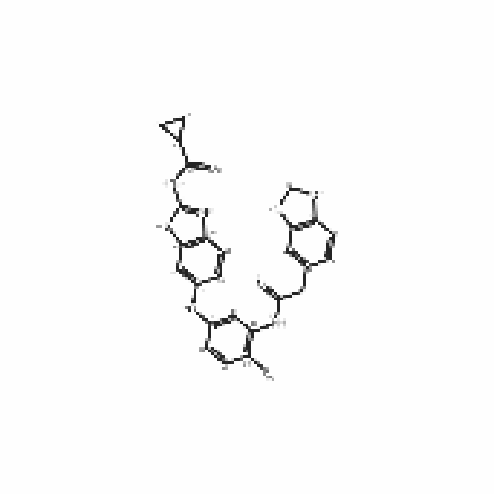 O=C(Cc1ccc2c(c1)OCO2)Nc1cc(Oc2ccc3nc(NC(=O)C4CC4)sc3c2)ccc1F